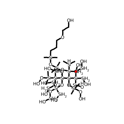 CO[Si]([SiH2]O)([SiH](C)C)[Si](O[Si](C)(C)OO)([Si](O[SiH2]O)([SiH2]O)[SiH2]O)[Si](O[Si](C)(C)O[Si](C)(C)CCCOCCO)(O[Si](O[SiH2]O)([SiH2]O)[SiH2]O)[Si](O[SiH2]O)([SiH2]O)[Si](C)(C)OO